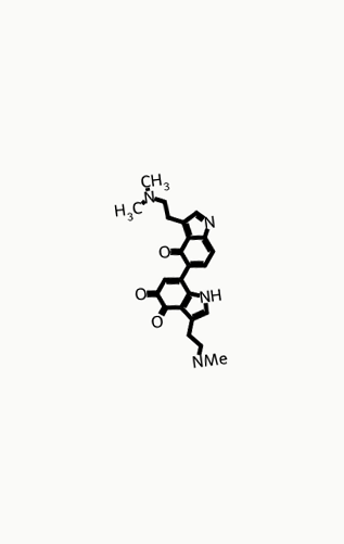 CNCCc1c[nH]c2c1C(=O)C(=O)C=C2C1=CC=C2N=CC(CCN(C)C)=C2C1=O